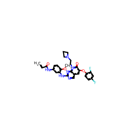 C=CC(=O)Nc1ccc(OC)c(Nc2ncc3cc(Oc4ccc(F)cc4F)c(=O)n(CCN4CCC4)c3n2)c1